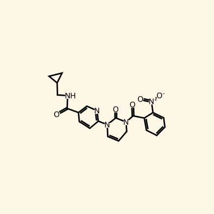 O=C(NCC1CC1)c1ccc(N2C=CCN(C(=O)c3ccccc3[N+](=O)[O-])C2=O)nc1